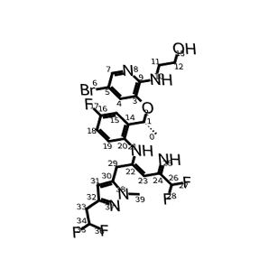 C[C@@H](Oc1cc(Br)cnc1NCCO)c1cc(F)ccc1N/C(=C\C(=N)C(F)F)Cc1cc(CC(F)F)nn1C